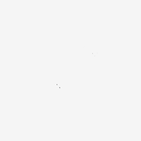 CCc1[nH]c2ccccc2c1C(CC)C(C)=O